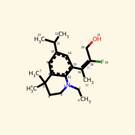 CCN1CCC(C)(C)c2cc(C(C)C)cc(/C(C)=C(/F)CO)c21